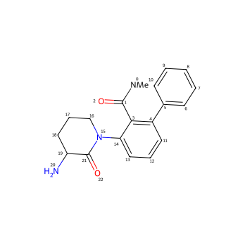 CNC(=O)c1c(-c2ccccc2)cccc1N1CCCC(N)C1=O